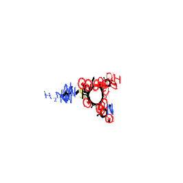 CC[C@H]1OC(=O)[C@H](C)[C@@H](O[C@H]2C[C@@](C)(OC)[C@@H](O)[C@H](C)O2)[C@H](C)[C@@H](O[C@@H]2O[C@H](C)C[C@@H](OC)[C@@H]2N(C)C)[C@](C)(OC)C[C@@H](C)C(=O)[C@H](C)[C@H]2[C@H](SCCn3cnc4c(N)ncnc43)C(=O)O[C@@]21C